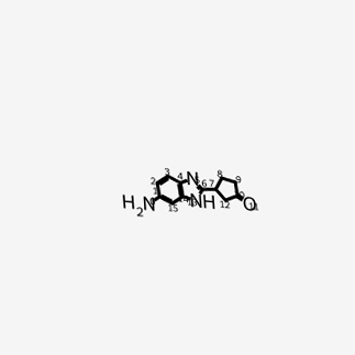 Nc1ccc2nc(C3CCC(=O)C3)[nH]c2c1